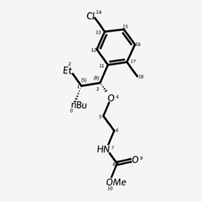 CCCC[C@H](CC)[C@@H](OCCNC(=O)OC)c1cc(Cl)ccc1C